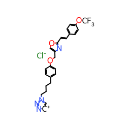 FC(F)(F)Oc1ccc(C=Cc2nc(COc3ccc(CCCCN4C=[C+]N=N4)cc3)co2)cc1.[Cl-]